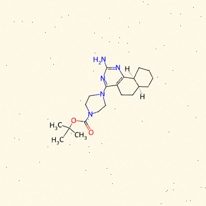 CC(C)(C)OC(=O)N1CCN(c2nc(N)nc3c2CC[C@@H]2CCCC[C@H]32)CC1